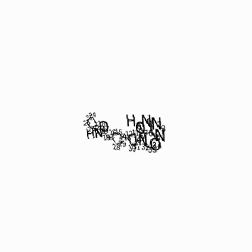 Nc1ncnc2c1C(=O)N(c1ccc(C3CCC(CC(=O)NC4CCCCC4)CC3)cc1)CCO2